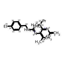 C=C(Cl)/N=C(\C(/N=C(\C=O)NCc1ccc(CC)cc1)=C(C)C)N(C)C(C)C